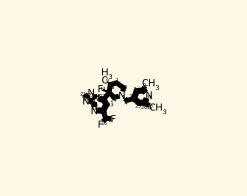 Cc1cc(CN2CC[C@@H](C)[C@@](F)(c3cc(C(F)F)nc4ncnn34)C2)cc(C)n1